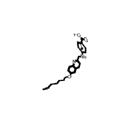 CCCCCCCOc1ccc2nc(CNC34CCC(C(=O)O)(CC3)CC4)ccc2c1